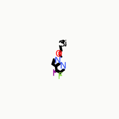 C[Si](C)(C)CCOCn1ccc2c(I)c(F)cnc21